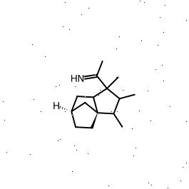 CC(=N)C1(C)C(C)C(C)[C@@]23CC[C@@H](CC12)C3